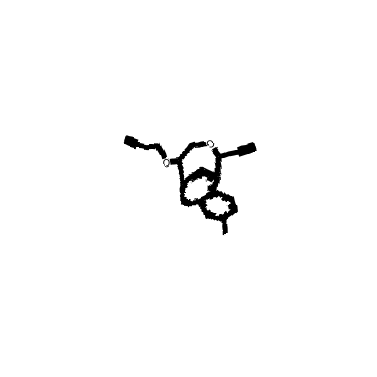 C#CCOC1COC(C#C)c2cc1cc1cc(C)ccc21